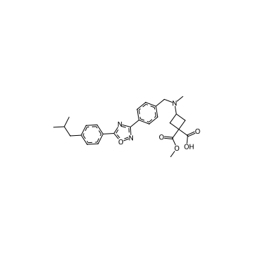 COC(=O)C1(C(=O)O)CC(N(C)Cc2ccc(-c3noc(-c4ccc(CC(C)C)cc4)n3)cc2)C1